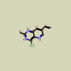 C=Cc1cnc2c(Cl)nc(C)nc2c1